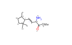 COC(=O)C(N)/C=C/C1C(C)CCC1(C)C